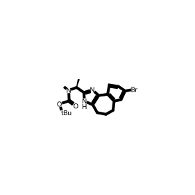 C[C@@H](c1nc2c([nH]1)CCCc1cc(Br)ccc1-2)N(C)C(=O)OC(C)(C)C